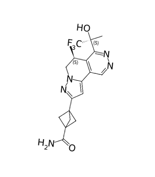 C[C@@H]1Cn2nc(C34CC(C(N)=O)(C3)C4)cc2-c2cnnc([C@](C)(O)C(F)(F)F)c21